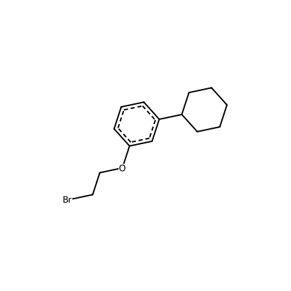 BrCCOc1cccc(C2CCCCC2)c1